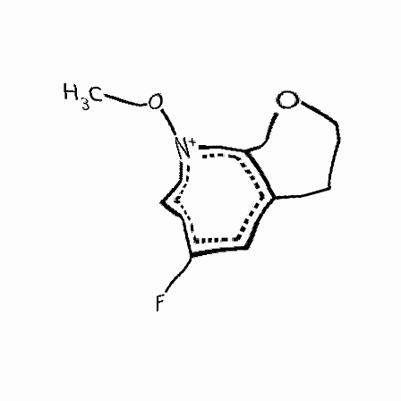 CO[n+]1cc(F)cc2c1OCC2